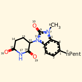 CCCCCc1ccc2c(c1)n(C)c(=O)n2C1CCC(=O)NC1=O